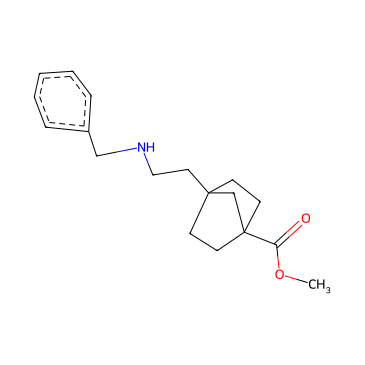 COC(=O)C12CCC(CCNCc3ccccc3)(CC1)C2